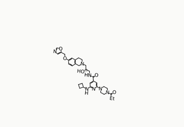 CCC(=O)N1CCN(c2cc(C(=O)NC[C@H](O)CN3CCc4cc(OCc5cnco5)ccc4C3)cc(NC3CCC3)n2)CC1